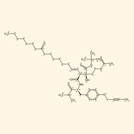 CC#CCOc1ccc(C[C@H](NC(=O)[C@@H](/C=C/CCCCCCC(=O)CCCCCCC)[C@@](O)(CCOC(C)=O)C(=O)OC(C)(C)C)C(=O)N(C)C)cc1